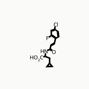 O=C(/C=C/c1ccc(Cl)cc1F)NC(CC1CC1)C(=O)O